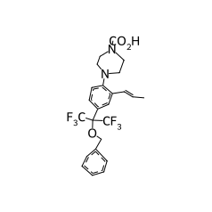 CC=Cc1cc(C(OCc2ccccc2)(C(F)(F)F)C(F)(F)F)ccc1N1CCN(C(=O)O)CC1